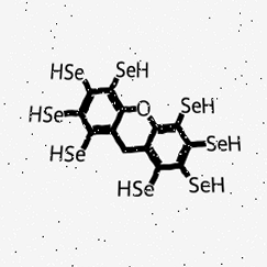 [SeH]c1c([SeH])c([SeH])c2c(c1[SeH])Cc1c([SeH])c([SeH])c([SeH])c([SeH])c1O2